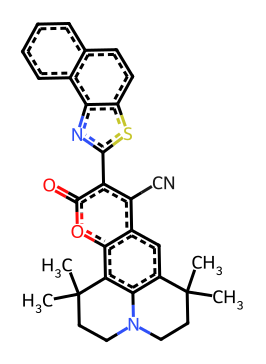 CC1(C)CCN2CCC(C)(C)c3c2c1cc1c(C#N)c(-c2nc4c(ccc5ccccc54)s2)c(=O)oc31